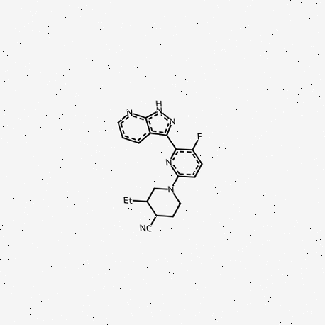 CCC1CN(c2ccc(F)c(-c3n[nH]c4ncccc34)n2)CCC1C#N